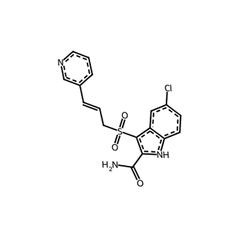 NC(=O)c1[nH]c2ccc(Cl)cc2c1S(=O)(=O)CC=Cc1cccnc1